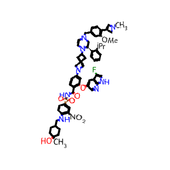 COc1cc(CN2CCN(C3CC4(C3)CN(c3ccc(C(=O)NS(=O)(=O)c5ccc(NCC6CCC(C)(O)CC6)c([N+](=O)[O-])c5)c(Oc5cnc6[nH]cc(F)c6c5)c3)C4)[C@H](c3ccccc3C(C)C)C2)ccc1C1CN(C)C1